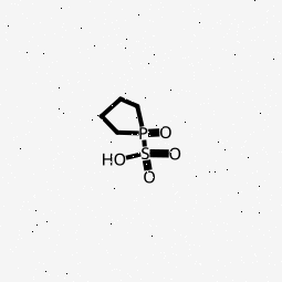 O=P1(S(=O)(=O)O)CCCC1